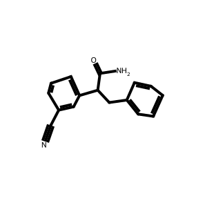 N#Cc1cccc(C(Cc2ccccc2)C(N)=O)c1